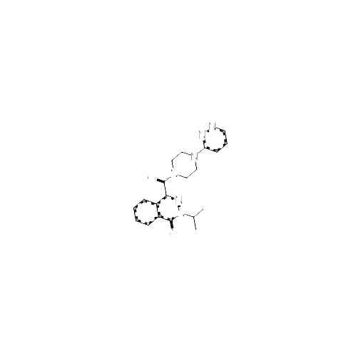 CC(C)n1nc(C(=O)N2CCN(c3cccnn3)CC2)c2ccccc2c1=O